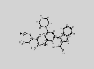 CCN(CC)C(=O)[C@H](C)Nc1nc(N2CCOCC2)cc(-n2c(C(F)F)nc3ccccc32)n1